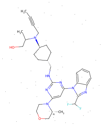 CC#CCN(C(C)CO)[C@H]1CC[C@H](CNc2nc(N3CCOC[C@H]3C)cc(-n3c(C(F)F)nc4ccccc43)n2)CC1